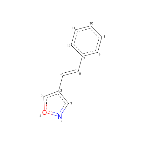 C(=C\c1cnoc1)/c1ccccc1